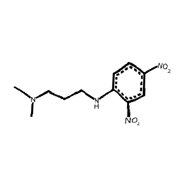 CN(C)CCCNc1ccc([N+](=O)[O-])cc1[N+](=O)[O-]